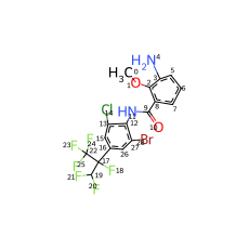 COc1c(N)cccc1C(=O)Nc1c(Cl)cc(C(F)(C(F)F)C(F)(F)F)cc1Br